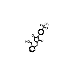 O=C1CN(Cc2ccncc2CO)C(=O)N1c1ccc(S(=O)(=O)C(F)(F)F)cc1